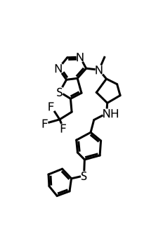 CN(c1ncnc2sc(CC(F)(F)F)cc12)C1CCC(NCc2ccc(Sc3ccccc3)cc2)C1